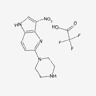 O=C(O)C(F)(F)F.O=[N+]([O-])c1c[nH]c2ccc(N3CCNCC3)nc12